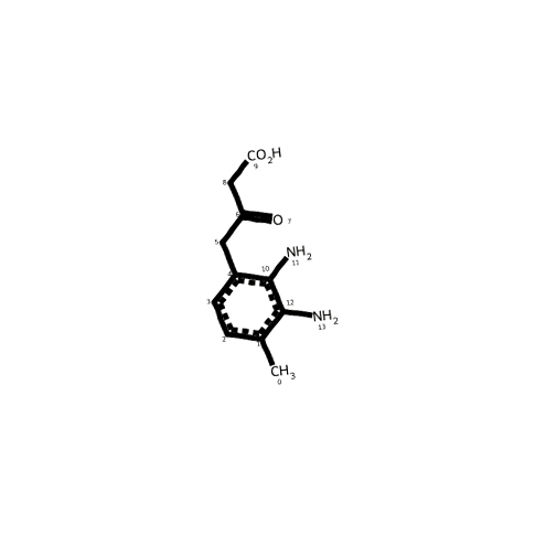 Cc1ccc(CC(=O)CC(=O)O)c(N)c1N